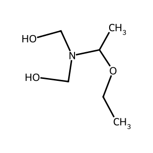 CCOC(C)N(CO)CO